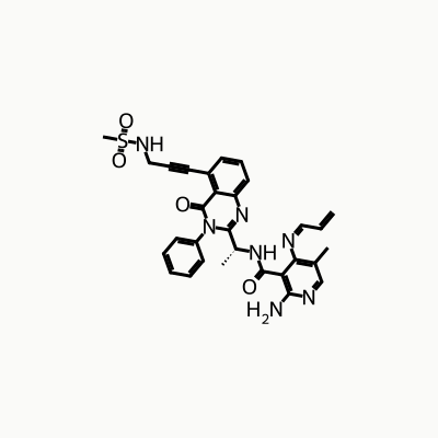 C=C/C=N\c1c(C)cnc(N)c1C(=O)N[C@H](C)c1nc2cccc(C#CCNS(C)(=O)=O)c2c(=O)n1-c1ccccc1